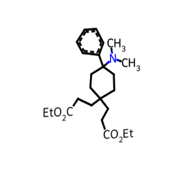 CCOC(=O)CCC1(CCC(=O)OCC)CCC(c2ccccc2)(N(C)C)CC1